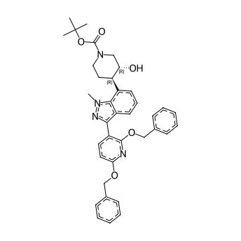 Cn1nc(-c2ccc(OCc3ccccc3)nc2OCc2ccccc2)c2cccc([C@H]3CCN(C(=O)OC(C)(C)C)C[C@@H]3O)c21